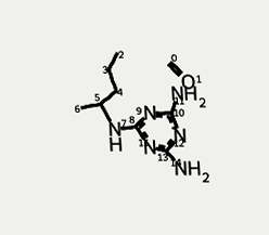 C=O.CCCC(C)Nc1nc(N)nc(N)n1